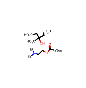 CCCCCCCCCC(=O)OCCN(CC)CC.O=C(O)CC(O)(CC(=O)O)C(=O)O